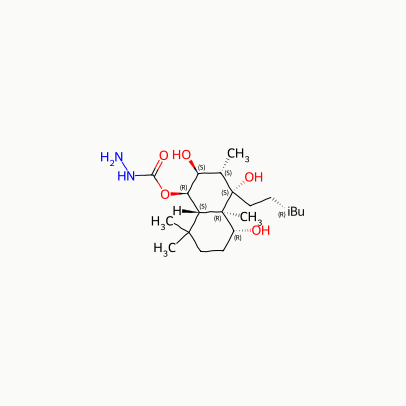 CC[C@@H](C)CC[C@]1(O)[C@@H](C)[C@H](O)[C@H](OC(=O)NN)[C@H]2C(C)(C)CC[C@@H](O)[C@@]21C